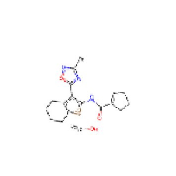 CCc1noc(-c2c(NC(=O)C3=CCCC3)sc3c2CCCC3)n1.O=C(O)O